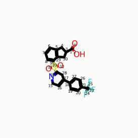 O=C(O)C1Cc2cccc(S(=O)(=O)C3=NCC=C(c4ccc(C(F)(F)F)cc4)C3)c2C1